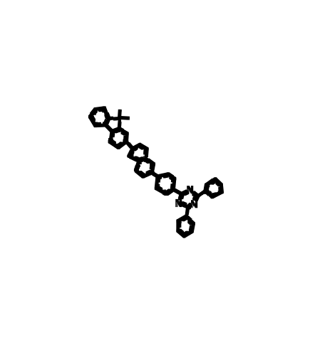 CC1(C)c2ccccc2-c2ccc(-c3ccc4cc(-c5ccc(-c6nc(-c7ccccc7)nc(-c7ccccc7)n6)cc5)ccc4c3)cc21